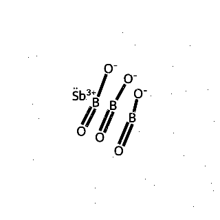 O=B[O-].O=B[O-].O=B[O-].[Sb+3]